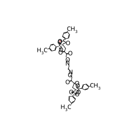 Cc1ccc(S(=O)(=O)C(CC(=O)C(=O)CO/N=C/C=N/OCC(=O)C(=O)CC(S(=O)(=O)c2ccc(C)cc2)S(=O)(=O)c2ccc(C)cc2)S(=O)(=O)c2ccc(C)cc2)cc1